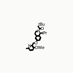 COc1ccc(C)nc1COc1ccc2c(c1)CCN(C(=O)CC(C)(C)C)C2C(C)C